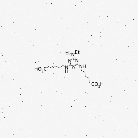 CCN(CC)c1nc(NCCCCCC(=O)O)nc(NCCCCCC(=O)O)n1